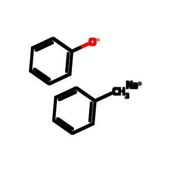 Cc1ccccc1.[Na+].[O-]c1ccccc1